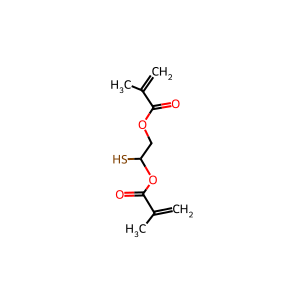 C=C(C)C(=O)OCC(S)OC(=O)C(=C)C